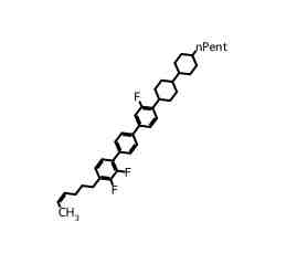 C/C=C\CCCc1ccc(-c2ccc(-c3ccc(C4CCC(C5CCC(CCCCC)CC5)CC4)c(F)c3)cc2)c(F)c1F